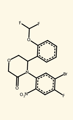 O=C1COCC(c2ccccc2OC(F)F)N1c1cc(Br)c(F)cc1[N+](=O)[O-]